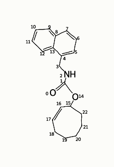 O=C(NCc1cccc2ccccc12)OC1C=CCCCCC1